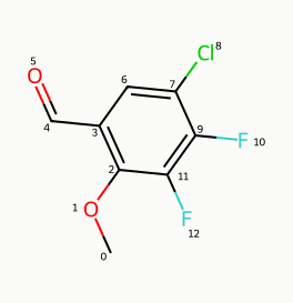 COc1c(C=O)cc(Cl)c(F)c1F